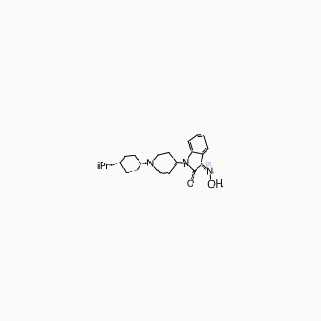 CC(C)[C@H]1CC[C@@H](N2CCC(N3C(=O)/C(=N\O)c4ccccc43)CC2)CC1